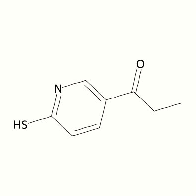 CCC(=O)c1ccc(S)nc1